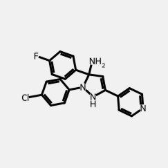 NC1(c2ccc(F)cc2)C=C(c2ccncc2)NN1c1ccc(Cl)cc1